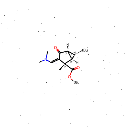 CN(C)/C=C1\C(=O)[C@H]2[C@H](C(C)(C)C)[C@H]2[C@]1(C)C(=O)OC(C)(C)C